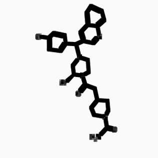 CC(C)[C@H]1CN(C(c2ccc(Cl)cc2)c2cnc3ccccc3c2)CCN1C(=O)CC1CCN(C(N)=O)CC1